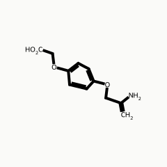 C=C(N)COc1ccc(OCC(=O)O)cc1